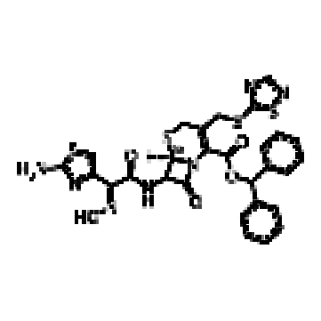 Nc1nc(C(=NO)C(=O)NC2C(=O)N3C(C(=O)OC(c4ccccc4)c4ccccc4)=C(CSc4ncns4)CS[C@@H]23)cs1